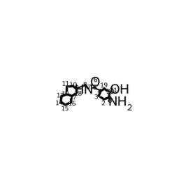 Nc1ccc(C(=O)NCc2ccc3ccccc3c2)cc1O